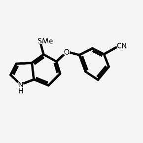 CSc1c(Oc2cccc(C#N)c2)ccc2[nH]ccc12